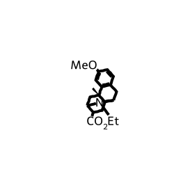 CCOC(=O)C1CC2C3Cc4ccc(OC)cc4[C@@]2(C)CC1N3C